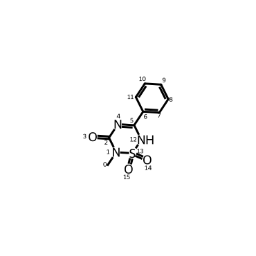 CN1C(=O)N=C(c2ccccc2)NS1(=O)=O